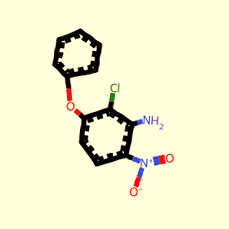 Nc1c([N+](=O)[O-])ccc(Oc2ccccc2)c1Cl